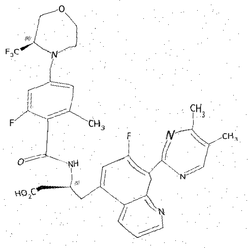 Cc1cnc(-c2c(F)cc(C[C@H](NC(=O)c3c(C)cc(N4CCOC[C@@H]4C(F)(F)F)cc3F)C(=O)O)c3cccnc23)nc1C